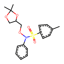 Cc1ccc(S(=O)(=O)N(OCC2COC(C)(C)O2)c2ccccc2)cc1